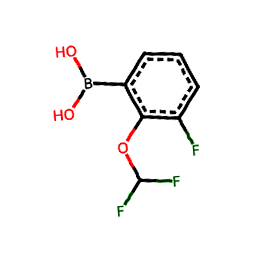 OB(O)c1cccc(F)c1OC(F)F